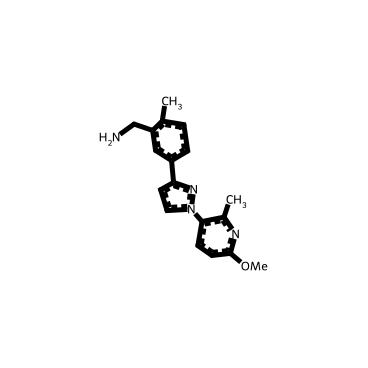 COc1ccc(-n2ccc(-c3ccc(C)c(CN)c3)n2)c(C)n1